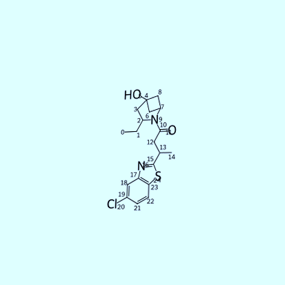 CCC1CC2(O)CC(C2)N1C(=O)CC(C)c1nc2cc(Cl)ccc2s1